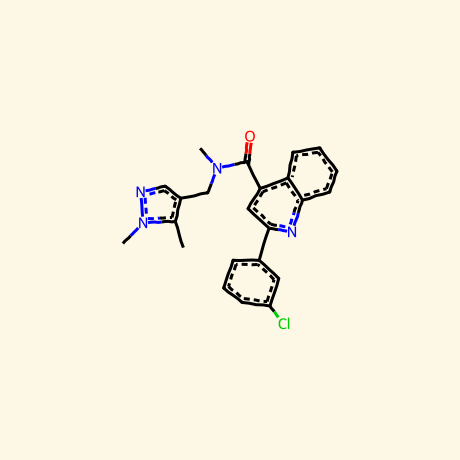 Cc1c(CN(C)C(=O)c2cc(-c3cccc(Cl)c3)nc3ccccc23)cnn1C